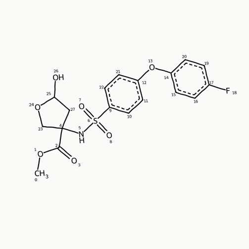 COC(=O)C1(NS(=O)(=O)c2ccc(Oc3ccc(F)cc3)cc2)COC(O)C1